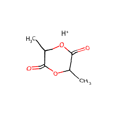 CC1OC(=O)C(C)OC1=O.[H+]